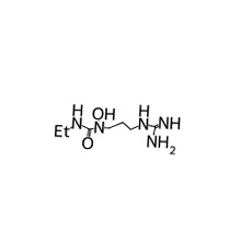 CCNC(=O)N(O)CCCNC(=N)N